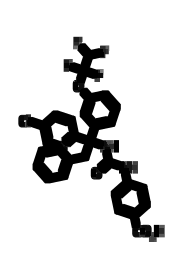 O=C(Nc1ccc(C(=O)O)cc1)NC(Cc1ccccc1)(c1cccc(OC(F)(F)C(F)F)c1)c1ccc(Cl)cn1